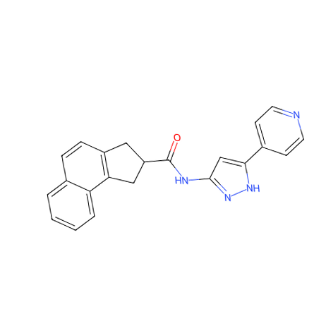 O=C(Nc1cc(-c2ccncc2)[nH]n1)C1Cc2ccc3ccccc3c2C1